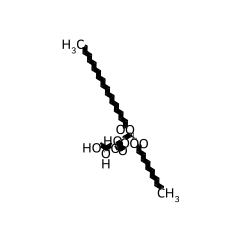 CCCCCCCCCCCCCCCCCCCCC(=O)O[C@H](COC(=O)CCCCCCCCCCC)COP(=O)(O)OC[C@@H](O)CO